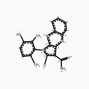 Cc1ccc(O)c(C)c1-n1c(Cl)c(C(N)=O)c2nc3ccccc3nc21